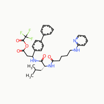 CC(C)C[C@@H](NC(=O)CCCCNc1ccccn1)C(=O)NC(CC(=O)OC(=O)C(F)(F)F)c1ccc(-c2ccccc2)cc1